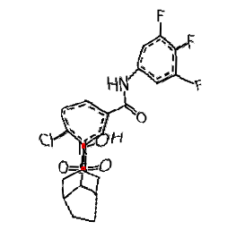 O=C(Nc1cc(F)c(F)c(F)c1)c1ccc(Cl)c(S(=O)(=O)C2C3CCC2CC(=NO)C3)c1